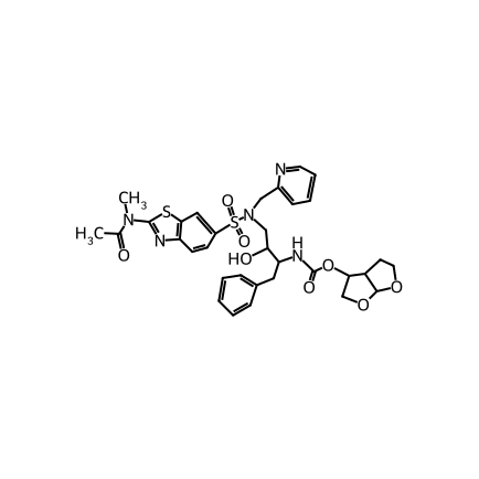 CC(=O)N(C)c1nc2ccc(S(=O)(=O)N(Cc3ccccn3)CC(O)C(Cc3ccccc3)NC(=O)OC3COC4OCCC34)cc2s1